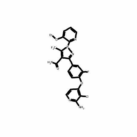 CCOc1cccnc1-n1nc(-c2ccc(Oc3ccnc(N)c3Cl)c(F)c2)c(C(N)=O)c1C(F)(F)F